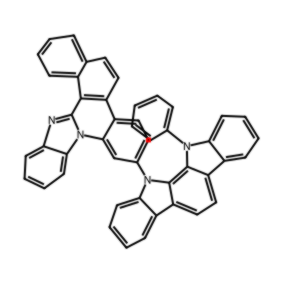 c1ccc(-n2c3ccccc3c3ccc4c5ccccc5n(-c5ccc6c7ccc8ccccc8c7c7nc8ccccc8n7c6c5)c4c32)cc1